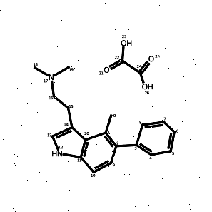 Cc1c(-c2ccccc2)ccc2[nH]cc(CCN(C)C)c12.O=C(O)C(=O)O